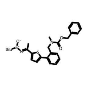 C/C(=N\[S+]([O-])C(C)(C)C)c1ccc(-c2ccccc2CN(C)C(=O)OCc2ccccc2)s1